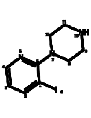 Ic1cccnc1N1CCNCC1